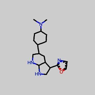 CN(C)C1CCC(C2CNC3NCC(c4ncco4)C3C2)CC1